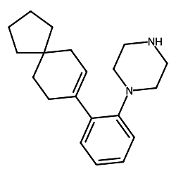 C1=C(c2ccccc2N2CCNCC2)CCC2(C1)CCCC2